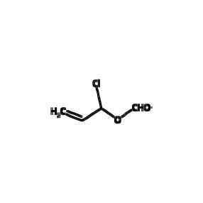 C=CC(Cl)O[C]=O